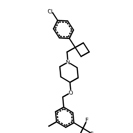 Cc1cc(COC2CCN(CC3(c4ccc(Cl)cc4)CCC3)CC2)cc(C(F)(F)F)c1